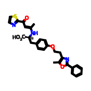 CC(=CC(=O)c1nccs1)N[C@@H](Cc1ccc(OCCc2nc(-c3ccccc3)oc2C)cc1)C(=O)O